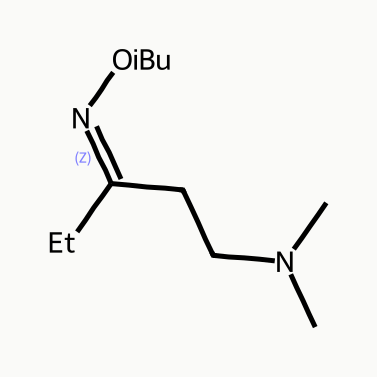 CC/C(CCN(C)C)=N/OCC(C)C